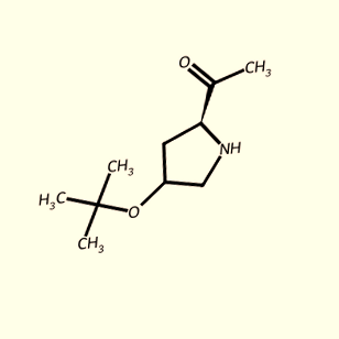 CC(=O)[C@@H]1CC(OC(C)(C)C)CN1